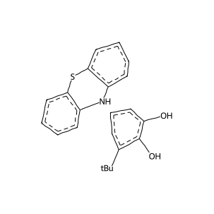 CC(C)(C)c1cccc(O)c1O.c1ccc2c(c1)Nc1ccccc1S2